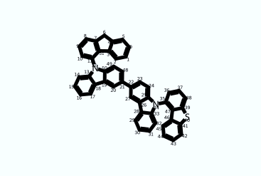 c1ccc2c(c1)Cc1cccc(-n3c4ccccc4c4cc(-c5ccc6c(c5)c5ccccc5n6-c5cccc6sc7ccccc7c56)ccc43)c1-2